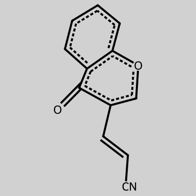 N#C/C=C/c1coc2ccccc2c1=O